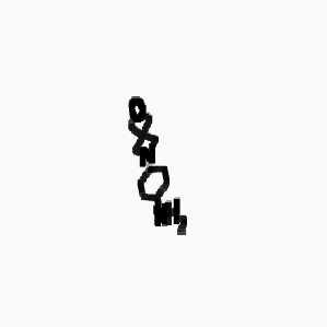 N[C@H]1CC[C@H](N2CC3(COC3)C2)CC1